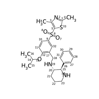 Cc1nc(C)c(S(=O)(=O)c2ccc(OC(C)C)c(CN[C@H]3CCCN[C@@H]3c3ccccc3)c2)s1